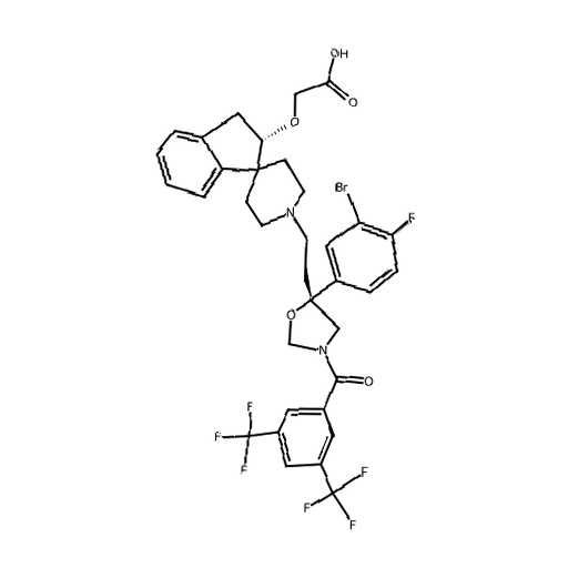 O=C(O)CO[C@H]1Cc2ccccc2C12CCN(CC[C@@]1(c3ccc(F)c(Br)c3)CN(C(=O)c3cc(C(F)(F)F)cc(C(F)(F)F)c3)CO1)CC2